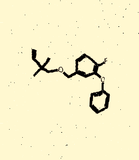 C=CC(C)(C)COCc1ccc(F)c(Oc2ccccc2)c1